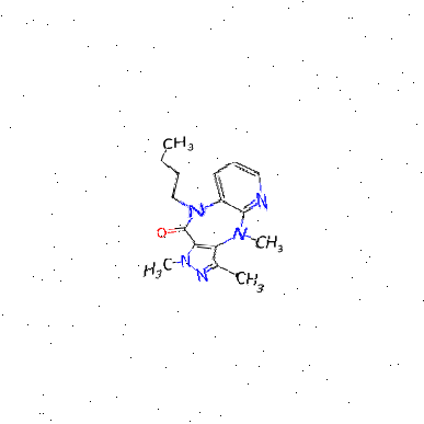 CCCCN1C(=O)c2c(c(C)nn2C)N(C)c2ncccc21